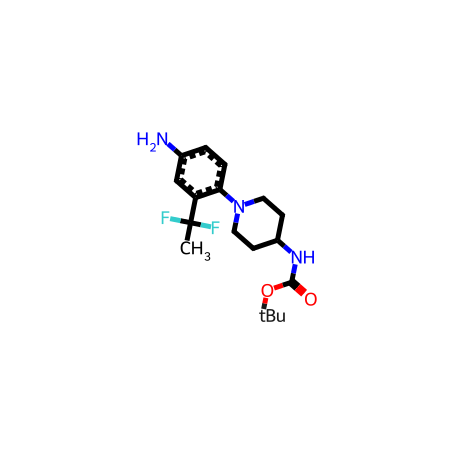 CC(C)(C)OC(=O)NC1CCN(c2ccc(N)cc2C(C)(F)F)CC1